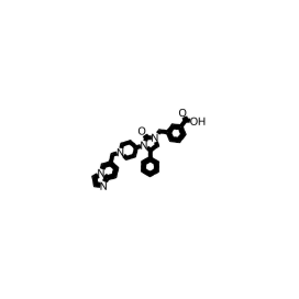 O=C(O)c1cccc(CN2CC(c3ccccc3)N(C3CCN(Cc4ccc5nccn5c4)CC3)C2=O)c1